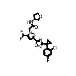 O=C(Cn1nc(-c2nc(C3(c4ccc(F)cc4Cl)CC3)no2)cc1C(F)F)N[C@H]1CCOC1